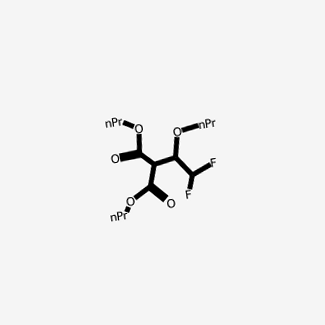 CCCOC(=O)C(C(=O)OCCC)C(OCCC)C(F)F